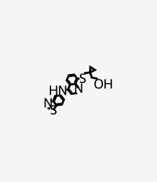 OCCC1(CSc2cccc3c(Nc4ccc5scnc5c4)ccnc23)CC1